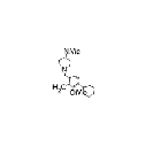 [CH2]c1c(CN2CCC(NC)CC2)ccc(C2CCCCC2)c1OC